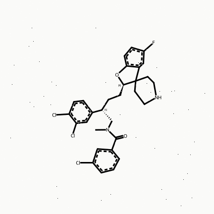 CN(C[C@@H](CC[C@H]1Oc2ccc(F)cc2C12CCNCC2)c1ccc(Cl)c(Cl)c1)C(=O)c1cccc(Cl)c1